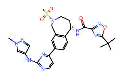 Cn1cc(Nc2nccc(-c3ccc4c(c3)CN(S(C)(=O)=O)CC[C@@H]4NC(=O)c3noc(C(C)(C)C)n3)n2)cn1